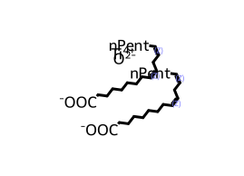 CCCCC/C=C\C/C=C\CCCCCCCC(=O)[O-].CCCCC/C=C\C/C=C\CCCCCCCC(=O)[O-].[O-2].[Ti+4]